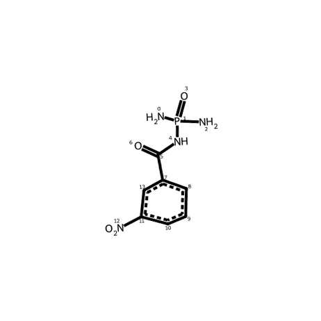 NP(N)(=O)NC(=O)c1cccc([N+](=O)[O-])c1